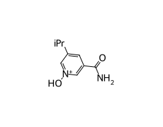 CC(C)c1cc(C(N)=O)c[n+](O)c1